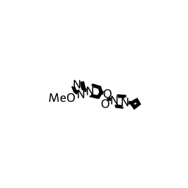 COc1cncc(N2CCC(OC(=O)N3CCN(C4CCC4)CC3)CC2)n1